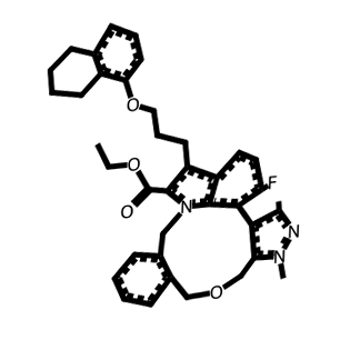 CCOC(=O)c1c(CCCOc2cccc3c2CCCC3)c2ccc(F)c3c2n1Cc1ccccc1COCc1c-3c(C)nn1C